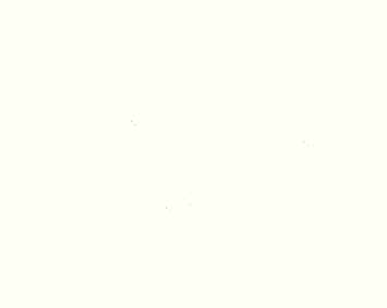 CCC(NC(=O)c1ccc2[nH]nc(-c3ccc(OC4CCN(C)CC4)cc3)c2c1)C1CCCCC1